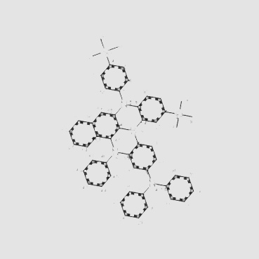 C[Si](C)(C)c1ccc(N2c3ccc([Si](C)(C)C)cc3B3c4ccc(N(c5ccccc5)c5ccccc5)cc4N(c4ccccc4)c4c3c2cc2ccccc42)cc1